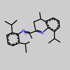 C/C(=N\c1c(C(C)C)cccc1C(C)C)C1=Nc2c(C(C)C)cccc2C(C)C1